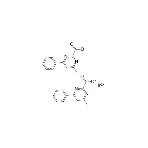 Cc1cc(-c2ccccc2)nc(C(=O)[O-])n1.Cc1cc(-c2ccccc2)nc(C(=O)[O-])n1.[Ir+2]